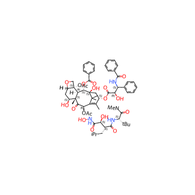 CC(=O)O[C@H]1C(=O)[C@@]2(C)[C@H]([C@H](OC(=O)c3ccccc3)[C@]3(O)C[C@H](OC(=O)[C@H](O)[C@@H](NC(=O)c4ccccc4)c4ccccc4)C(C)=C1C3(C)C)[C@]1(OC(C)=O)CO[C@@H]1C[C@@H]2O.CNC(=O)[C@@H](NC(=O)[C@H](CC(C)C)[C@H](O)C(=O)NO)C(C)(C)C